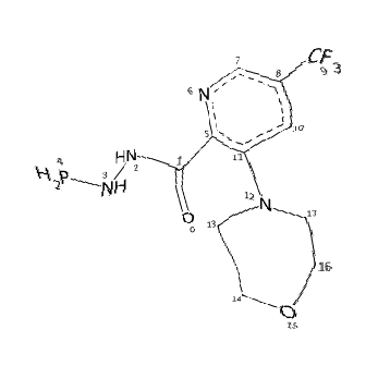 O=C(NNP)c1ncc(C(F)(F)F)cc1N1CCOCC1